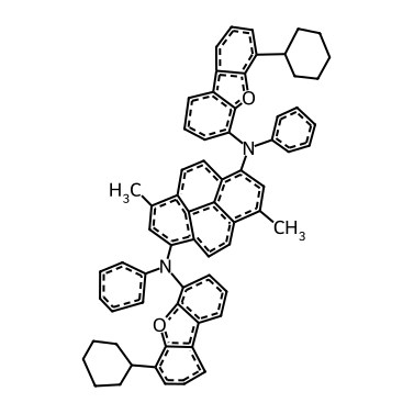 Cc1cc(N(c2ccccc2)c2cccc3c2oc2c(C4CCCCC4)cccc23)c2ccc3c(C)cc(N(c4ccccc4)c4cccc5c4oc4c(C6CCCCC6)cccc45)c4ccc1c2c34